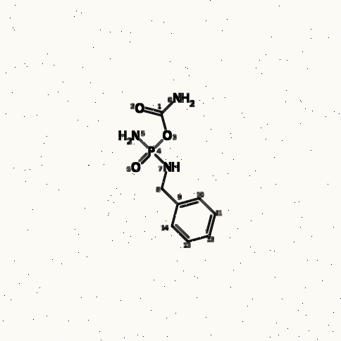 NC(=O)OP(N)(=O)NCc1ccccc1